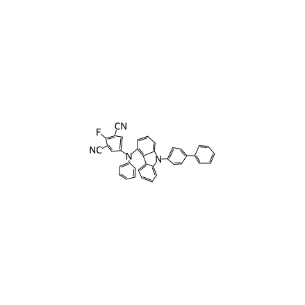 N#Cc1cc(N(c2ccccc2)c2cccc3c2c2ccccc2n3-c2ccc(-c3ccccc3)cc2)cc(C#N)c1F